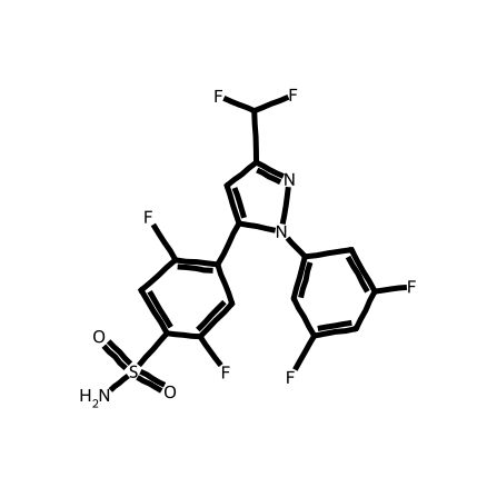 NS(=O)(=O)c1cc(F)c(-c2cc(C(F)F)nn2-c2cc(F)cc(F)c2)cc1F